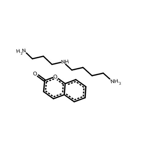 NCCCCNCCCN.O=c1ccc2ccccc2o1